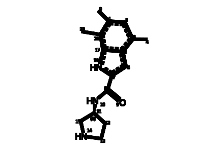 Cc1cc(C)c2cc(C(=O)N[C@H]3CCNC3)[nH]c2c1C